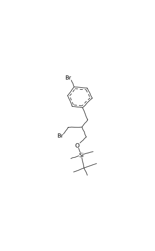 CC(C)(C)[Si](C)(C)OCC(CBr)Cc1ccc(Br)cc1